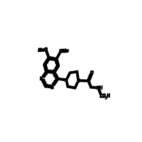 COc1cc2ncnc(N3CCN(C(=O)CNC(=O)O)CC3)c2cc1OC